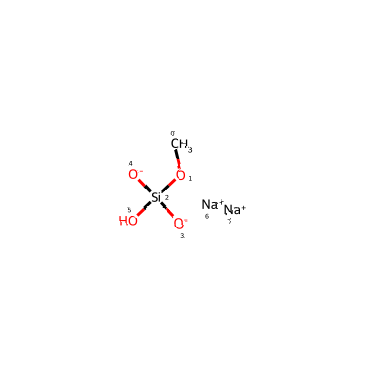 CO[Si]([O-])([O-])O.[Na+].[Na+]